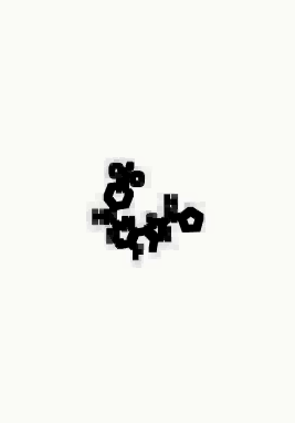 Cc1nc(NC2CCCC2)sc1-c1nc(NC2CCN(S(C)(=O)=O)CC2)ncc1F